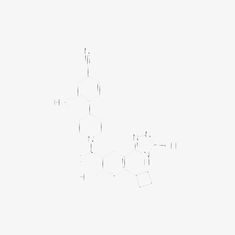 Cc1nnc(-c2cc(C(=O)N3CCC(c4ccc(C#N)cc4C)CC3)c(C)cc2C2CCC2)[nH]1